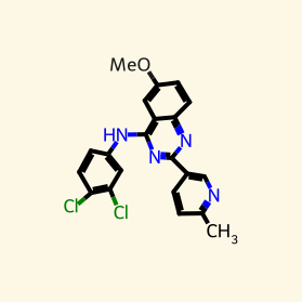 COc1ccc2nc(-c3ccc(C)nc3)nc(Nc3ccc(Cl)c(Cl)c3)c2c1